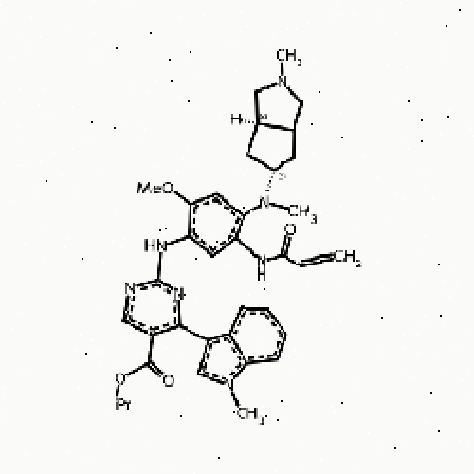 C=CC(=O)Nc1cc(Nc2ncc(C(=O)OC(C)C)c(-c3cn(C)c4ccccc34)n2)c(OC)cc1N(C)[C@H]1CC2CN(C)C[C@@H]2C1